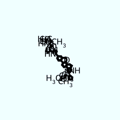 COC(=O)NC(C(=O)N1CCCC1c1ncc(-c2ccc3c(c2)COc2c-3ccc3c2ccc2[nH]c([C@@H]4CCCN4C(=O)OC(C)(C)C)nc23)[nH]1)C(C)C